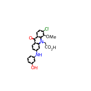 COc1c(Cl)ccc2c(=O)c3ccc(Nc4cccc(O)c4)cc3n(CC(=O)O)c12